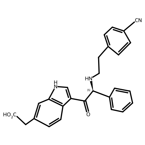 N#Cc1ccc(CCN[C@H](C(=O)c2c[nH]c3cc(CC(=O)O)ccc23)c2ccccc2)cc1